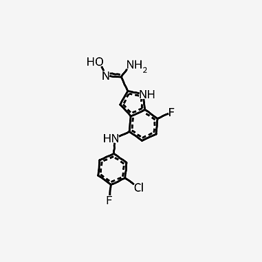 NC(=NO)c1cc2c(Nc3ccc(F)c(Cl)c3)ccc(F)c2[nH]1